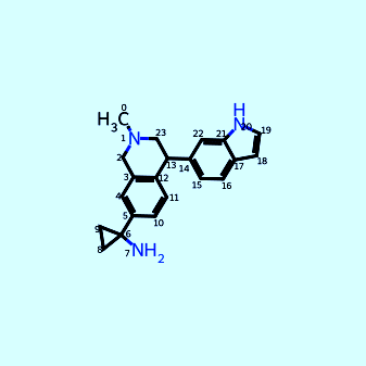 CN1Cc2cc(C3(N)CC3)ccc2C(c2ccc3cc[nH]c3c2)C1